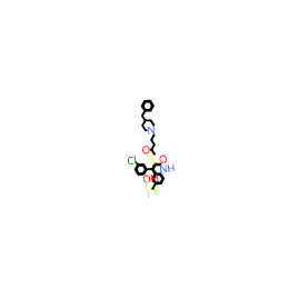 O=C(CCCN1CCC(Cc2ccccc2)CC1)CSc1c(-c2cc(Cl)ccc2O)c2cc(C(F)(F)F)ccc2[nH]c1=O